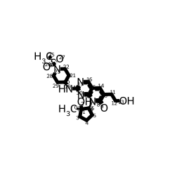 C[C@]1(O)CCC[C@@H]1n1c(=O)c(CCO)cc2cnc(NC3CCN(S(C)(=O)=O)CC3)nc21